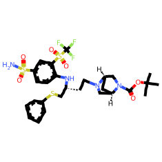 CC(C)(C)OC(=O)N1C[C@H]2C[C@@H]1CN2CC[C@H](CSc1ccccc1)Nc1ccc(S(N)(=O)=O)cc1S(=O)(=O)C(F)(F)F